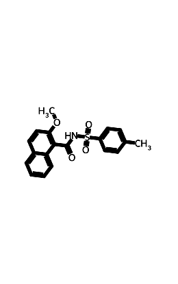 COc1ccc2ccccc2c1C(=O)NS(=O)(=O)c1ccc(C)cc1